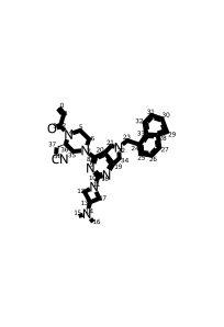 C=CC(=O)N1CCN(c2nc(N3CC(N(C)C)C3)nc3c2CN(Cc2cccc4ccccc24)C3)C[C@@H]1CC#N